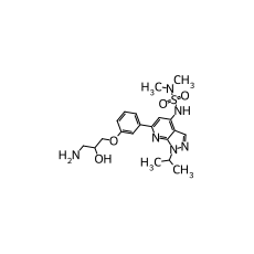 CC(C)n1ncc2c(NS(=O)(=O)N(C)C)cc(-c3cccc(OCC(O)CN)c3)nc21